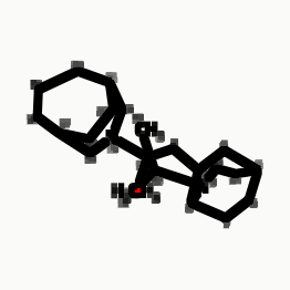 CC(CC1CC2CCC1N(C(C)C)CC2)N1CC2CCCC(CC2)C1